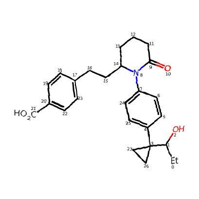 CCC(O)C1(c2ccc(N3C(=O)CCCC3CCc3ccc(C(=O)O)cc3)cc2)CC1